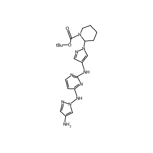 CC(C)(C)OC(=O)N1CCCCC1n1cc(Nc2nccc(Nn3cc(N)cn3)n2)cn1